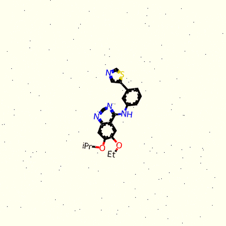 CCOc1cc2c(Nc3cccc(-c4cncs4)c3)ncnc2cc1OC(C)C